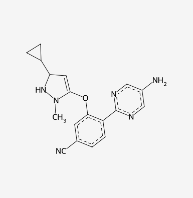 CN1NC(C2CC2)C=C1Oc1cc(C#N)ccc1-c1ncc(N)cn1